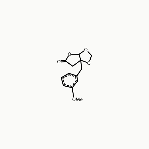 COc1cccc(CC23CC(=O)OC2OCO3)c1